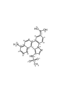 CS(=O)(=O)Nc1cnn(-c2ccc(B(O)O)cc2-c2ccc3c(N)cnnc3c2)c1